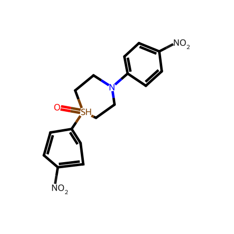 O=[N+]([O-])c1ccc(N2CC[SH](=O)(c3ccc([N+](=O)[O-])cc3)CC2)cc1